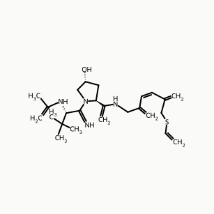 C=CSCC(=C)/C=C\C(=C)CNC(=C)[C@@H]1C[C@@H](O)CN1C(=N)[C@@H](NC(=C)C)C(C)(C)C